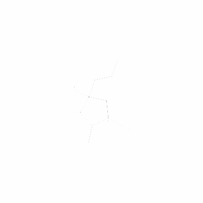 CCCC1(C)CC(C)C(I)C1